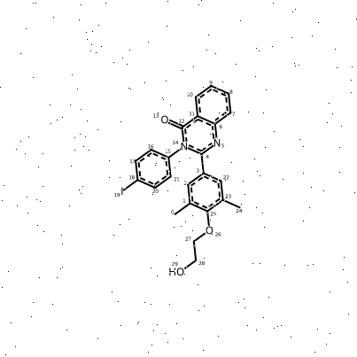 Cc1cc(-c2nc3ccccc3c(=O)n2-c2ccc(I)cc2)cc(C)c1OCCO